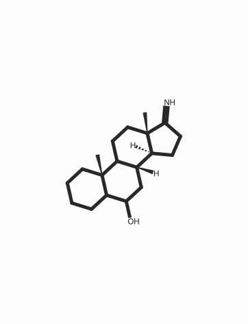 C[C@]12CCCCC1C(O)C[C@@H]1C2CC[C@]2(C)C(=N)CC[C@@H]12